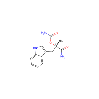 CC(C)(C)[C@@](Cc1c[nH]c2ccccc12)(OC(N)=O)C(N)=O